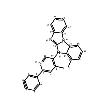 Cc1cc(-c2cc#ccc2)ncc1-n1c2c(C)cccc2n2c3ccccc3nc12